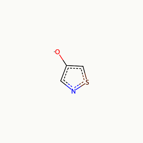 [O]c1cnsc1